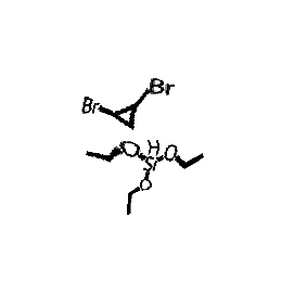 BrC1CC1Br.CCO[SiH](OCC)OCC